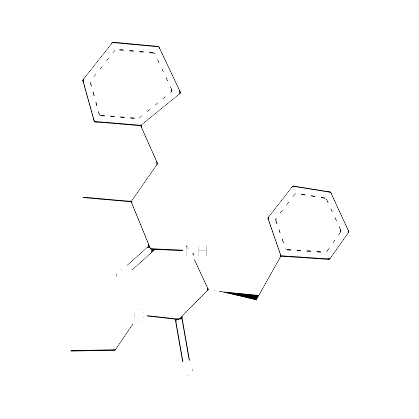 CCOC(=O)[C@H](Cc1ccccc1)NC(=O)C(C)Cc1ccccc1